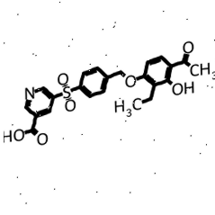 CCc1c(OCc2ccc(S(=O)(=O)c3cncc(C(=O)O)c3)cc2)ccc(C(C)=O)c1O